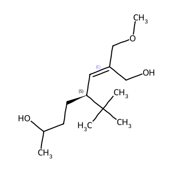 COC/C(=C/[C@H](CCC(C)O)C(C)(C)C)CO